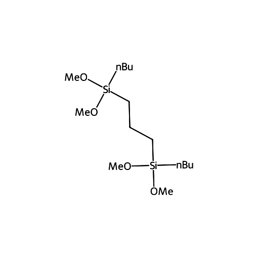 CCCC[Si](CCC[Si](CCCC)(OC)OC)(OC)OC